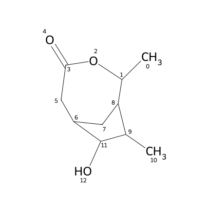 CC1OC(=O)CC2CC1C(C)C2O